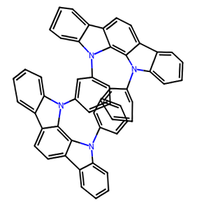 c1ccc(-n2c3ccccc3c3ccc4c5ccccc5n(-c5cccc(-n6c7ccccc7c7ccc8c9ccccc9n(-c9ccccc9)c8c76)c5)c4c32)cc1